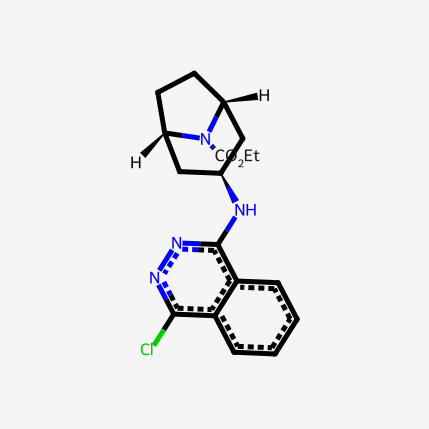 CCOC(=O)N1[C@@H]2CC[C@H]1C[C@H](Nc1nnc(Cl)c3ccccc13)C2